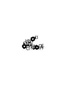 FC(F)(F)Oc1ccc(/C=N\Nc2nc(Nc3ccc(Cl)cc3)nc(-c3c(Cl)cccc3Cl)n2)cc1